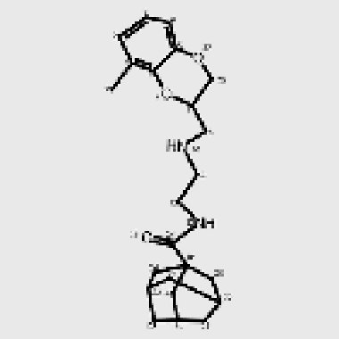 Cc1cccc2c1OC(CNCCNC(=O)C13CC4CC(CC(C4)C1)C3)CO2